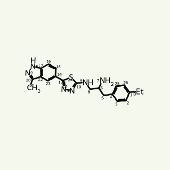 CCc1ccc(CC(N)CNc2nnc(-c3ccc4[nH]nc(C)c4c3)s2)cc1